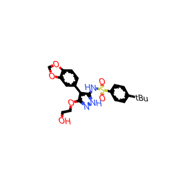 CC(C)(C)c1ccc(S(=O)(=O)Nc2[nH]nc(OCCO)c2-c2ccc3c(c2)OCO3)cc1